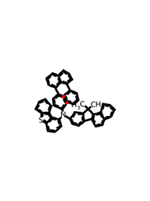 CC1(C)c2cc(N(c3ccc(-c4cccc5cccc(-c6ccccc6)c45)cc3)c3cccc4sc5ccccc5c34)ccc2-c2ccc3ccccc3c21